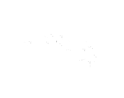 CCCCCn1c(SCCCn2c(Br)nc3c2c(=O)[nH]c(=O)n3C)nc2c1c(=O)n(CCCN)c(=O)n2C